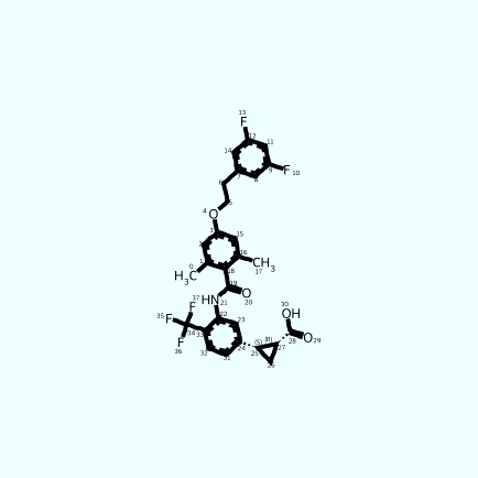 Cc1cc(OCCc2cc(F)cc(F)c2)cc(C)c1C(=O)Nc1cc([C@H]2C[C@H]2C(=O)O)ccc1C(F)(F)F